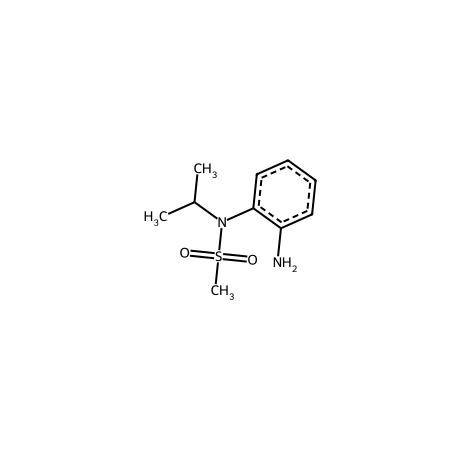 CC(C)N(c1ccccc1N)S(C)(=O)=O